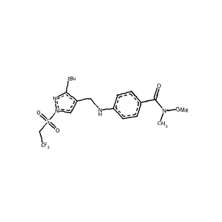 CON(C)C(=O)c1ccc(NCc2cn(S(=O)(=O)CC(F)(F)F)nc2C(C)(C)C)cc1